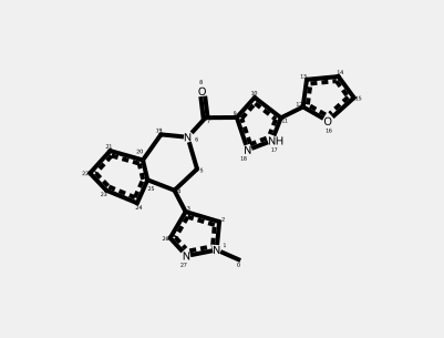 Cn1cc(C2CN(C(=O)c3cc(-c4ccco4)[nH]n3)Cc3ccccc32)cn1